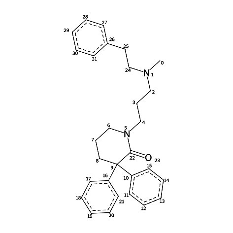 CN(CCCN1CCCC(c2ccccc2)(c2ccccc2)C1=O)CCc1ccccc1